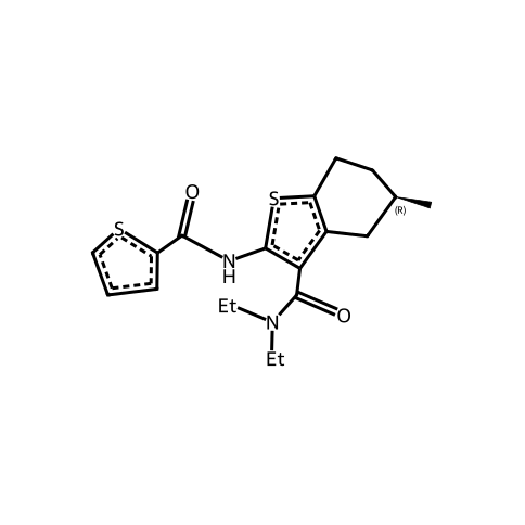 CCN(CC)C(=O)c1c(NC(=O)c2cccs2)sc2c1C[C@H](C)CC2